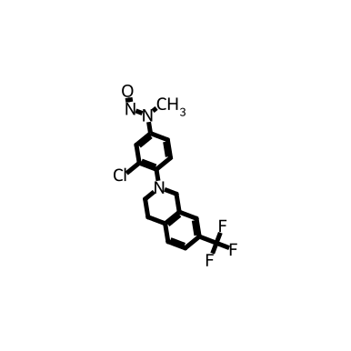 CN(N=O)c1ccc(N2CCc3ccc(C(F)(F)F)cc3C2)c(Cl)c1